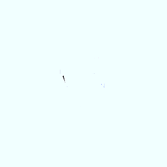 O=C1N[C@H]2C3C=C[C@@H](C3)C12